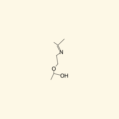 CC(C)=NCCOC(C)O